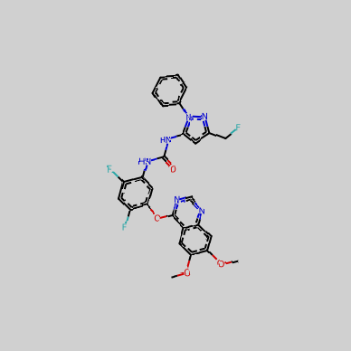 COc1cc2ncnc(Oc3cc(NC(=O)Nc4cc(CF)nn4-c4ccccc4)c(F)cc3F)c2cc1OC